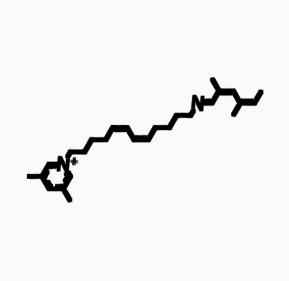 C\C=C(C)/C=C(C)\C=N\CCCC/C=C\C=C/CCCC[n+]1cc(C)cc(C)c1